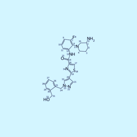 NC1CCCN(c2c(F)cccc2NC(=O)c2csc(-c3cnn(Cc4ccccc4CO)c3)n2)C1